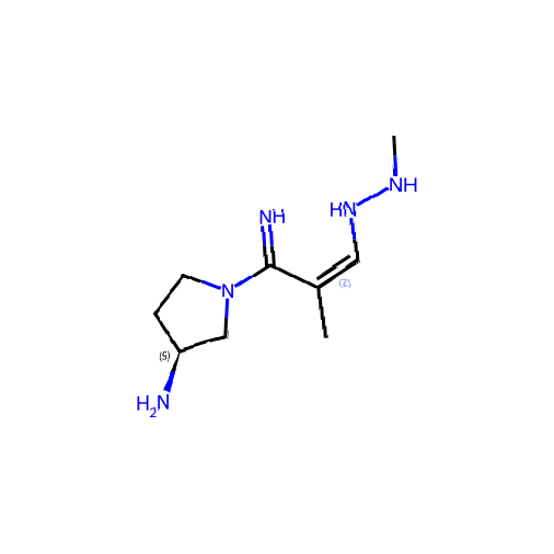 CNN/C=C(/C)C(=N)N1CC[C@H](N)C1